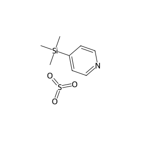 C[Si](C)(C)c1ccncc1.O=S(=O)=O